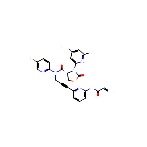 C=CC(=O)Nc1cccc(C#CCN(C(=O)[C@@H]2COC(=O)N2c2cc(C(F)(F)F)cc(C)n2)c2ccc(F)cn2)n1